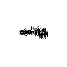 CC(C)n1c(=O)c(NCc2ccc(S(=O)(=O)N3CCOCC3)cc2)nc2cnc(-c3c(O)ncnc3C3CC3)nc21